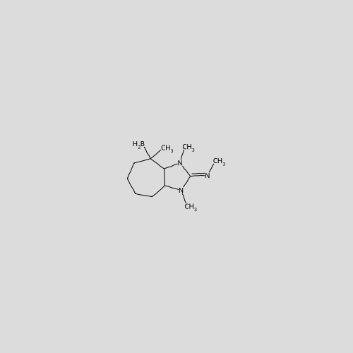 BC1(C)CCCCC2C1N(C)/C(=N\C)N2C